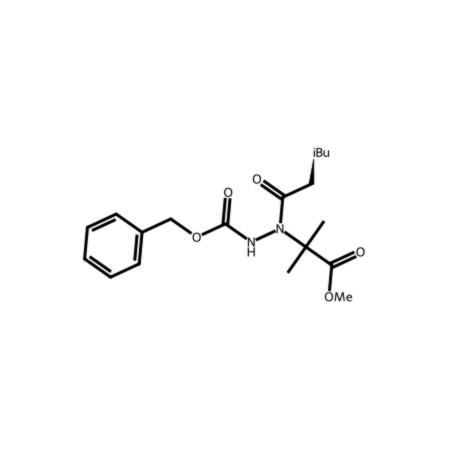 CC[C@H](C)CC(=O)N(NC(=O)OCc1ccccc1)C(C)(C)C(=O)OC